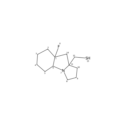 FC12CCCCC1N1CCCC1(CS)C2